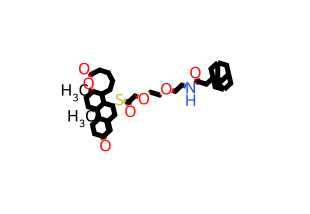 CC12CCC3C(C1CCCCC(=O)O2)[C@H](SC(=O)COCCOCCNC(=O)CC12CC4CC(CC(C4)C1)C2)CC1=CC(=O)CCC13C